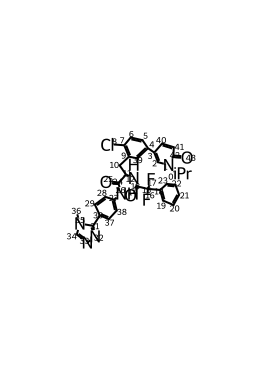 CC(C)n1cc(-c2ccc(Cl)c(CC(NC(=O)C(F)(F)c3ccccc3)C(=O)Nc3ccc(-c4nncn4C)cc3)c2)ccc1=O